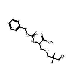 COC(=O)C(COCC(C)(C)CO)NC(=O)OCc1ccccc1